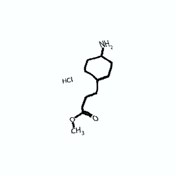 COC(=O)CCC1CCC(N)CC1.Cl